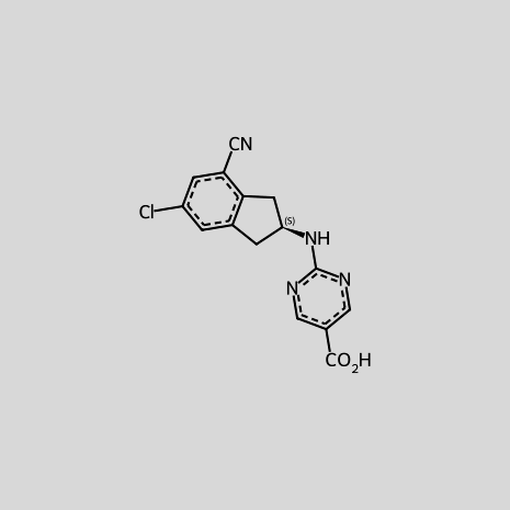 N#Cc1cc(Cl)cc2c1C[C@@H](Nc1ncc(C(=O)O)cn1)C2